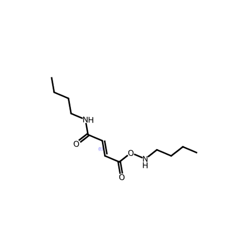 CCCCNOC(=O)/C=C/C(=O)NCCCC